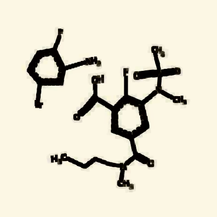 CCCN(C)C(=O)c1cc(C(=O)O)c(F)c(N(C)S(C)(=O)=O)c1.Nc1cc(Br)ccc1F